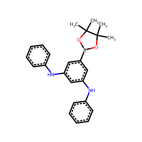 CC1(C)OB(c2cc(Nc3ccccc3)cc(Nc3ccccc3)c2)OC1(C)C